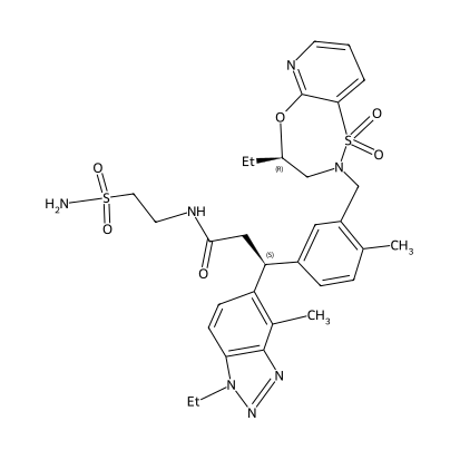 CC[C@@H]1CN(Cc2cc([C@H](CC(=O)NCCS(N)(=O)=O)c3ccc4c(nnn4CC)c3C)ccc2C)S(=O)(=O)c2cccnc2O1